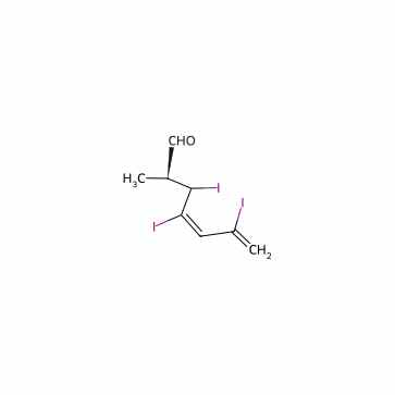 C=C(I)/C=C(/I)C(I)[C@@H](C)C=O